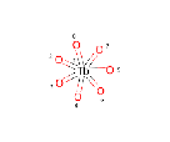 [O]=[Tb](=[O])(=[O])(=[O])(=[O])(=[O])=[O]